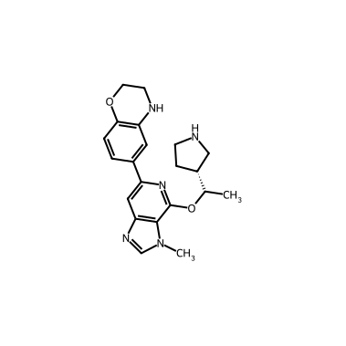 CC(Oc1nc(-c2ccc3c(c2)NCCO3)cc2ncn(C)c12)[C@@H]1CCNC1